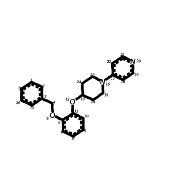 c1ccc(COc2ccccc2OC2CCN(c3ccncc3)CC2)cc1